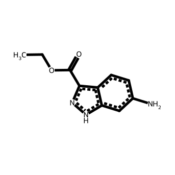 CCOC(=O)c1n[nH]c2cc(N)ccc12